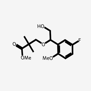 COC(=O)C(C)(C)COC(CO)c1cc(F)ccc1OC